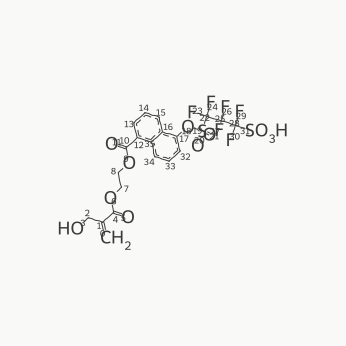 C=C(CO)C(=O)OCCOC(=O)c1cccc2c(OS(=O)(=O)C(F)(F)C(F)(F)C(F)(F)S(=O)(=O)O)cccc12